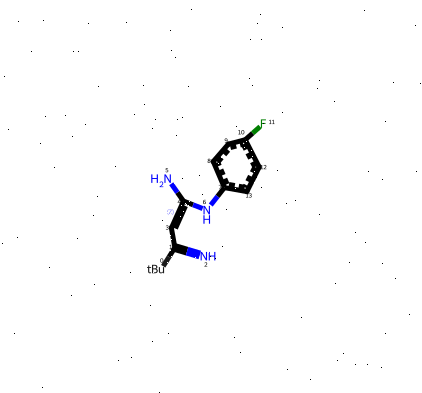 CC(C)(C)C(=N)/C=C(/N)Nc1ccc(F)cc1